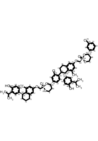 Cc1cc(OCP2(=O)OCC[C@@H](c3ccc(C4CCc5cc(OC[P@]6(=O)OCC[C@@H](c7cccc(Cl)c7)O6)cc(C)c5[C@@H]4c4ccc(O)c(C(C)C)c4)c(Cl)c3)O2)cc2c1[C@H](c1ccc(O)c(C(C)C)c1)CCC2